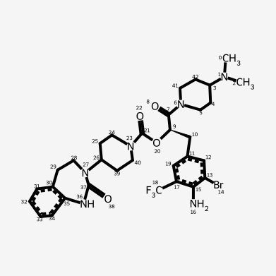 CN(C)C1CCN(C(=O)[C@@H](Cc2cc(Br)c(N)c(C(F)(F)F)c2)OC(=O)N2CCC(N3CCc4ccccc4NC3=O)CC2)CC1